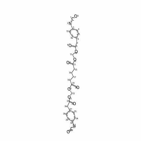 O=C=Nc1ccc(CC(=O)OCOC(=O)CCCCC(=O)OCOC(=O)Cc2ccc(N=C=O)cc2)cc1